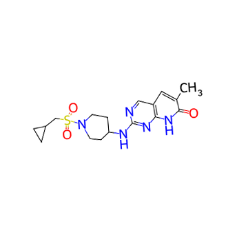 Cc1cc2cnc(NC3CCN(S(=O)(=O)CC4CC4)CC3)nc2[nH]c1=O